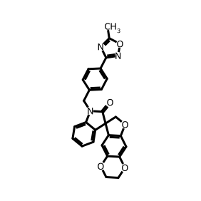 Cc1nc(-c2ccc(CN3C(=O)C4(COc5cc6c(cc54)OCCO6)c4ccccc43)cc2)no1